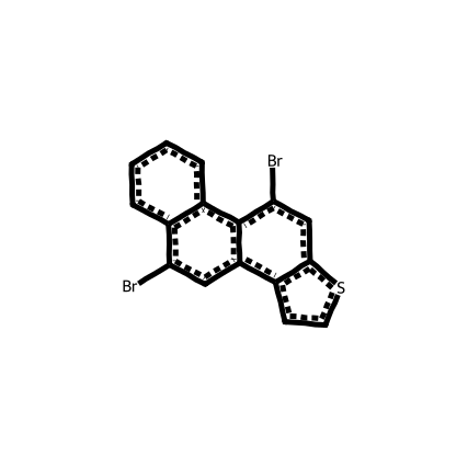 Brc1cc2c3ccsc3cc(Br)c2c2ccccc12